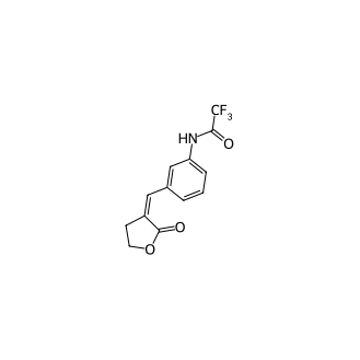 O=C1OCC/C1=C/c1cccc(NC(=O)C(F)(F)F)c1